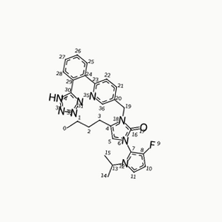 CCCCc1cn(-c2c(F)ccn2C(C)C)c(=O)n1Cc1ccc(-c2ccccc2-c2nnn[nH]2)nc1